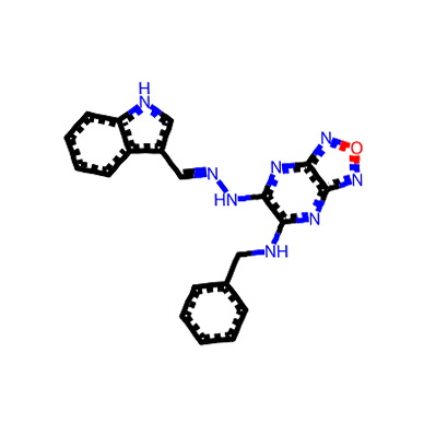 C(=NNc1nc2nonc2nc1NCc1ccccc1)c1c[nH]c2ccccc12